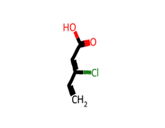 C=CC(Cl)=CC(=O)O